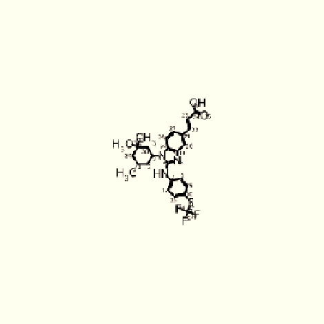 C[C@H]1CC(n2c(Nc3ccc(SC(F)(F)F)cc3)nc3cc(/C=C/C(=O)O)ccc32)CC(C)(C)C1